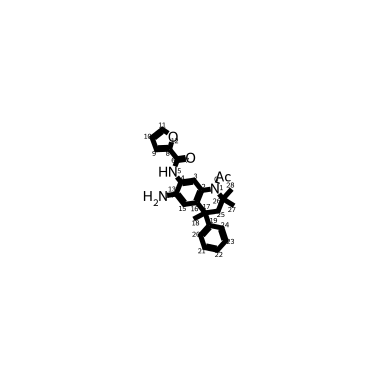 CC(=O)N1c2cc(NC(=O)c3ccco3)c(N)cc2C(C)(c2ccccc2)CC1(C)C